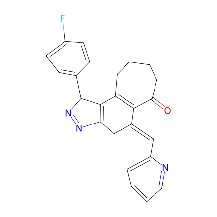 O=C1CCCCC2=C1/C(=C/c1ccccn1)CC1=C2C(c2ccc(F)cc2)N=N1